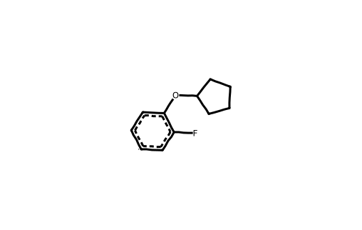 Fc1c[c]ccc1OC1CCCC1